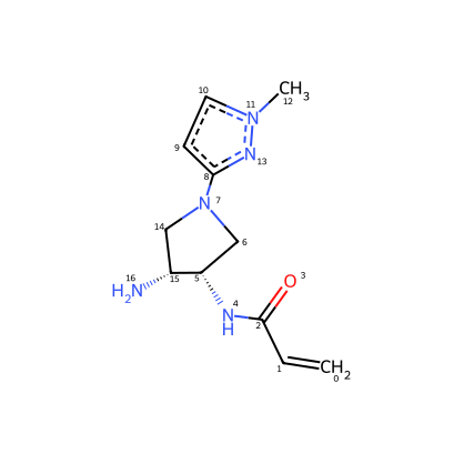 C=CC(=O)N[C@H]1CN(c2ccn(C)n2)C[C@H]1N